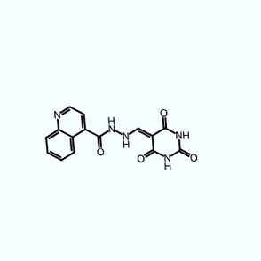 O=C1NC(=O)C(=CNNC(=O)c2ccnc3ccccc23)C(=O)N1